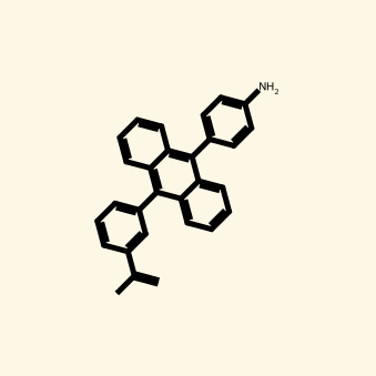 C=C(C)c1cccc(-c2c3ccccc3c(-c3ccc(N)cc3)c3ccccc23)c1